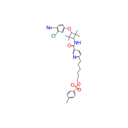 Cc1ccc(S(=O)(=O)OCCCCCCc2ccc(C(=O)NC3C(C)(C)C(Oc4ccc(C#N)c(Cl)c4)C3(C)C)cn2)cc1